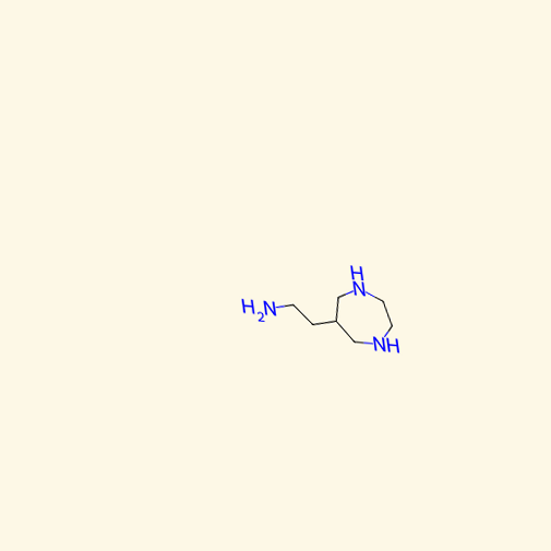 NCCC1CNCCNC1